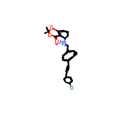 CC1(C)OC(=O)c2c(NCc3ccc(C#Cc4ccc(Cl)cc4)cc3)cccc2O1